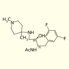 CC(=O)N[C@@H](Cc1cc(F)cc(F)c1)[C@H](O)CNC1(C)CCN(C)CC1